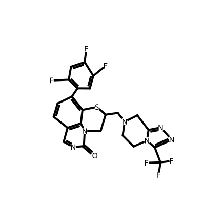 O=c1ncc2ccc(-c3cc(F)c(F)cc3F)c3c2n1CC(CN1CCn2c(nnc2C(F)(F)F)C1)S3